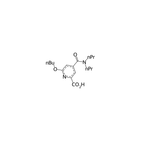 CCCCOc1cc(C(=O)N(CCC)CCC)cc(C(=O)O)n1